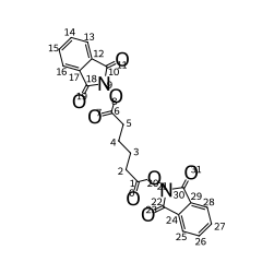 O=C(CCCCC(=O)ON1C(=O)c2ccccc2C1=O)ON1C(=O)c2ccccc2C1=O